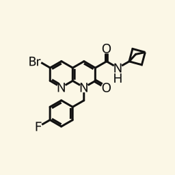 O=C(NC12CC(C1)C2)c1cc2cc(Br)cnc2n(Cc2ccc(F)cc2)c1=O